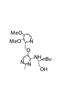 CCCC[C@@H](CO)Nc1nc(C)ncc1OCc1nccc(OC)c1OC